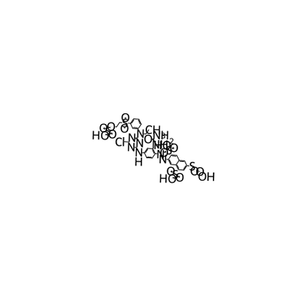 CCN(c1cccc(S(=O)(=O)CCOS(=O)(=O)O)c1)c1nc(Cl)nc(Nc2ccc(/N=N/c3cc4c(S(=O)(=O)O)cc(SOOO)cc4cc3S(=O)(=O)O)c(NC(N)=O)c2)n1